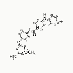 C[C@@H]1CN(Cc2ccc(CC(=O)N3CCC(Nc4ccc(F)cc4)CC3)cc2)C[C@H](C)N1